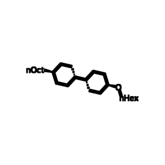 CCCCCCCC[C@H]1CC[C@H]([C@H]2CC[C@H](OCCCCCC)CC2)CC1